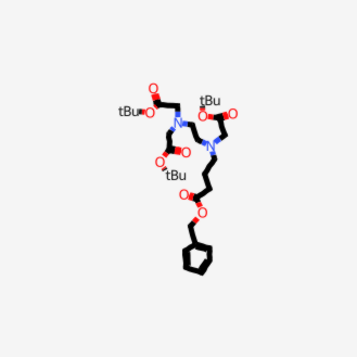 CC(C)(C)OC(=O)CN(CCCC(=O)OCc1ccccc1)CCN(CC(=O)OC(C)(C)C)CC(=O)OC(C)(C)C